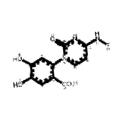 O=C(O)c1cc(O)c(O)cc1-n1ccc(NF)nc1=O